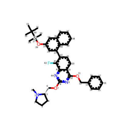 CN1CCC[C@H]1COc1nc(OCc2ccccc2)c2ccc(-c3cc(O[Si](C)(C)C(C)(C)C)cc4ccccc34)c(F)c2n1